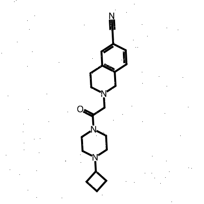 N#Cc1ccc2c(c1)CCN(CC(=O)N1CCN(C3CCC3)CC1)C2